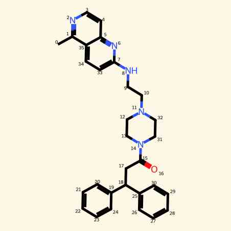 Cc1nccc2nc(NCCN3CCN(C(=O)CC(c4ccccc4)c4ccccc4)CC3)ccc12